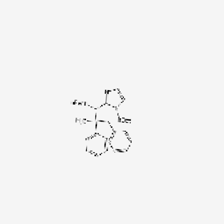 CCCCCCCCn1ccnc1C(CCCCC)C(C)(Cc1ccccc1)c1ccccc1